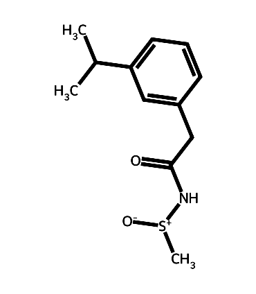 CC(C)c1cccc(CC(=O)N[S+](C)[O-])c1